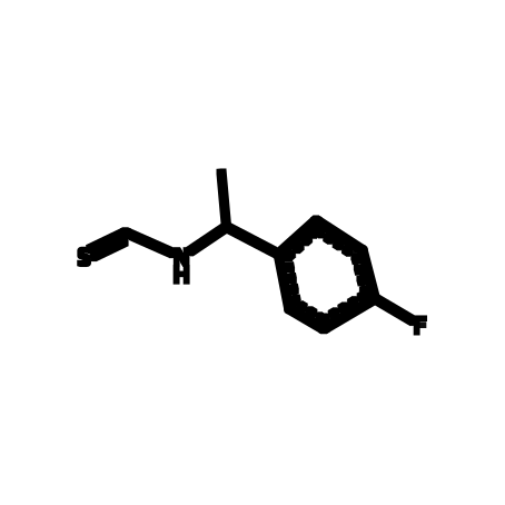 CC(NC=S)c1ccc(F)cc1